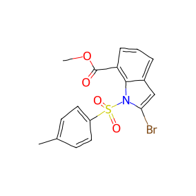 COC(=O)c1cccc2cc(Br)n(S(=O)(=O)c3ccc(C)cc3)c12